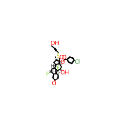 C[C@@H]1C[C@H]2[C@@H]3C[C@H](F)C4=CC(=O)C=C[C@]4(C)[C@@]3(F)[C@@H](O)C[C@]2(C)[C@@]1(OC(=O)c1ccc(Cl)cc1)C(=O)SCC#CCO